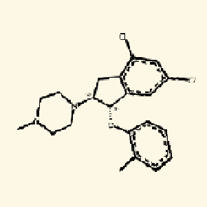 Cc1ccccc1O[C@H]1c2cc(Cl)cc(Cl)c2C[C@@H]1N1CCN(C)CC1